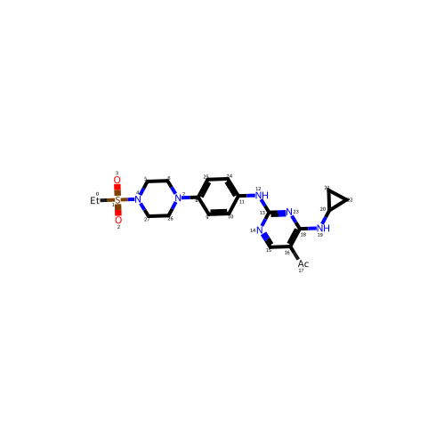 CCS(=O)(=O)N1CCN(c2ccc(Nc3ncc(C(C)=O)c(NC4CC4)n3)cc2)CC1